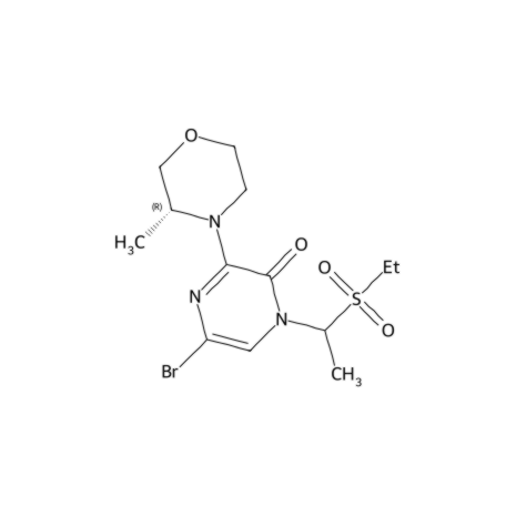 CCS(=O)(=O)C(C)n1cc(Br)nc(N2CCOC[C@H]2C)c1=O